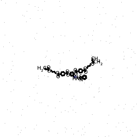 C=CC(=C)OCCCCOC(=O)C1CCC(C(=O)Oc2ccc(OC(=O)C3CCC(C(=O)OCCCCOC(=O)C=C)CC3)cc2/C=N/Nc2nc3ccccc3s2)CC1